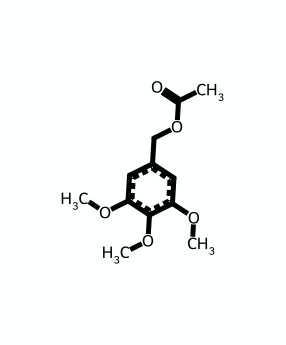 COc1cc(COC(C)=O)cc(OC)c1OC